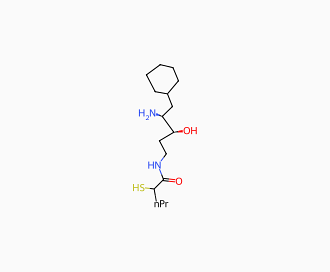 CCCC(S)C(=O)NCC[C@H](O)[C@@H](N)CC1CCCCC1